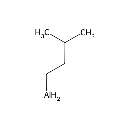 CC(C)C[CH2][AlH2]